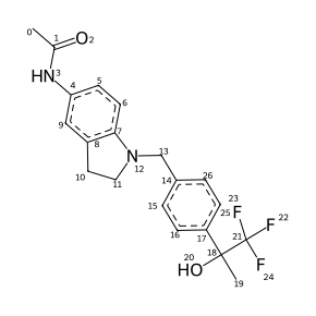 CC(=O)Nc1ccc2c(c1)CCN2Cc1ccc(C(C)(O)C(F)(F)F)cc1